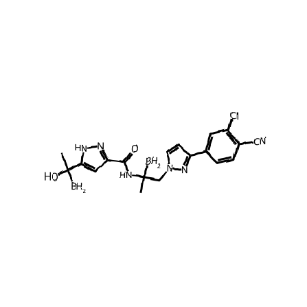 BC(C)(Cn1ccc(-c2ccc(C#N)c(Cl)c2)n1)NC(=O)c1cc(C(B)(C)O)[nH]n1